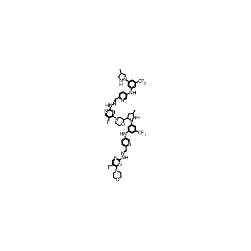 CC1CNN(c2cc(Nc3ccc(/C=N/Nc4ncc(F)c(N5CCOC(C6CC(C)NN6c6cc(Nc7ccc(/C=N/Nc8ncc(F)c(N9CCOCC9)n8)nc7)cc(C(F)(F)F)c6)C5)n4)nc3)cc(C(F)(F)F)c2)C1